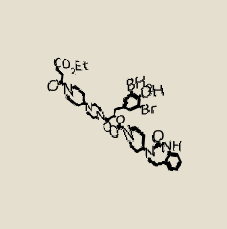 Bc1cc(C[C@@H](OC(=O)N2CCC(N3CCc4ccccc4NC3=O)CC2)C(=O)N2CCN(C3CCN(C(=O)CCC(=O)OCC)CC3)CC2)cc(Br)c1O